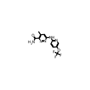 Cc1cc(Nc2ccc(OC(F)(F)F)cn2)nnc1C(N)=O